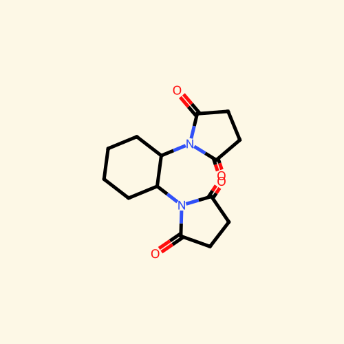 O=C1CCC(=O)N1C1CCCCC1N1C(=O)CCC1=O